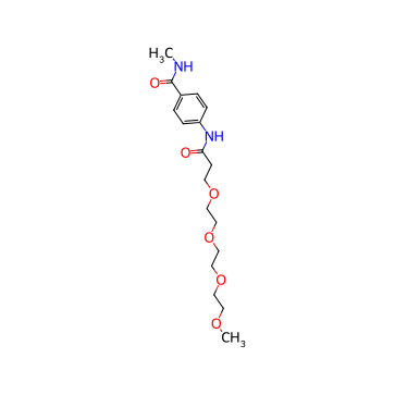 CNC(=O)c1ccc(NC(=O)CCOCCOCCOCCOC)cc1